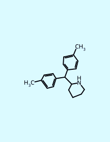 Cc1ccc(C(c2ccc(C)cc2)C2CCCCN2)cc1